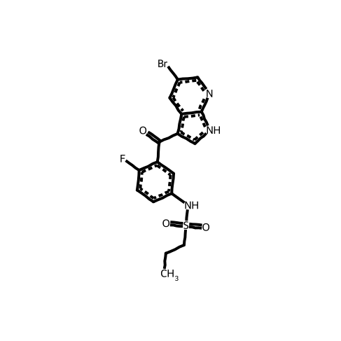 CCCS(=O)(=O)Nc1ccc(F)c(C(=O)c2c[nH]c3ncc(Br)cc23)c1